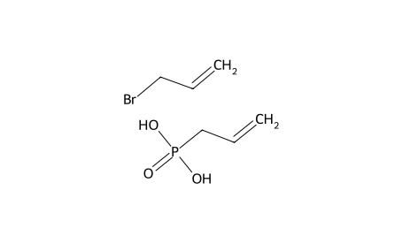 C=CCBr.C=CCP(=O)(O)O